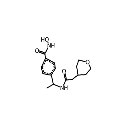 CC(NC(=O)CC1CCOCC1)c1ccc(C(=O)NO)cc1